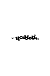 CCCc1ccc(C2CCC(OCc3ccc(C4CCC(c5ccc(OCC)c(F)c5F)CC4)c(F)c3F)CC2)c(F)c1F